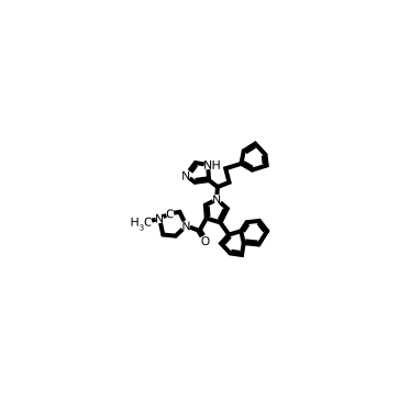 CN1CCN(C(=O)c2cn(C(CCc3ccccc3)c3cnc[nH]3)cc2-c2cccc3ccccc23)CC1